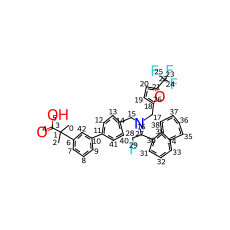 CC(C)(C(=O)O)c1cccc(-c2ccc(CN(Cc3ccc(C(F)(F)F)o3)C(CF)c3cccc4ccccc34)cc2)c1